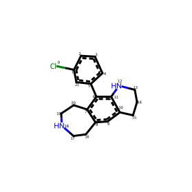 Clc1cccc(-c2c3c(cc4c2NCCC4)CCNCC3)c1